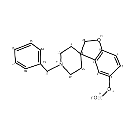 CCCCCCCCOc1ccc2c(c1)C1(CCN(Cc3ccccc3)CC1)CO2